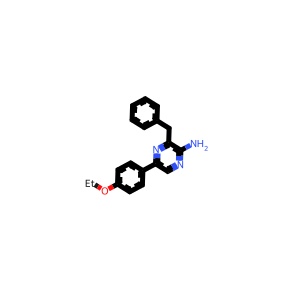 CCOc1ccc(-c2cnc(N)c(Cc3ccccc3)n2)cc1